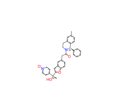 Cc1ccc2c(c1)CCN(C(=O)Cc1ccc3oc([C@](C)(O)c4cc[n+]([O-])cc4)cc3c1)[C@@H]2c1ccccc1